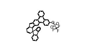 O=S(=O)(Oc1ccc2c(c1)c1ccccc1c1cc3c(cc21)=C1C(=CC=CC12c1ccccc1-c1ccccc12)C=3)C(F)(F)F